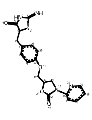 N=C1NC(=O)C(Cc2ccc(OCC3CN(c4ccccn4)C(=O)O3)cc2)S1